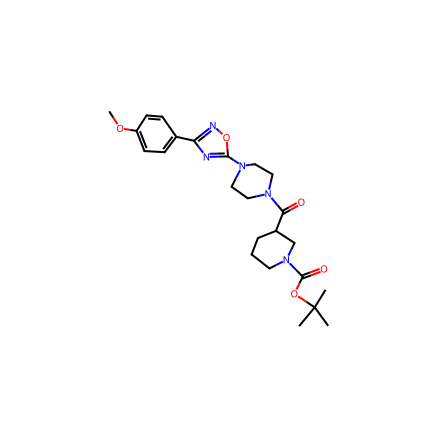 COc1ccc(-c2noc(N3CCN(C(=O)C4CCCN(C(=O)OC(C)(C)C)C4)CC3)n2)cc1